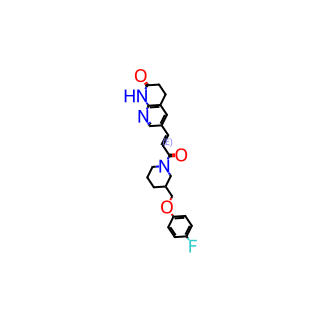 O=C1CCc2cc(/C=C/C(=O)N3CCCC(COc4ccc(F)cc4)C3)cnc2N1